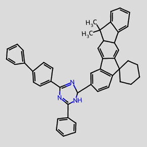 CC1(C)c2ccccc2C2C=C3C(=CC21)c1cc(C2N=C(c4ccc(-c5ccccc5)cc4)N=C(c4ccccc4)N2)ccc1C31CCCCC1